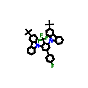 CC(C)(C)c1ccc2c(c1)c1ccccc1n2-c1cc(-c2ccc(F)cc2)cc(-n2c3ccccc3c3cc(C(C)(C)C)ccc32)c1C(F)(F)F